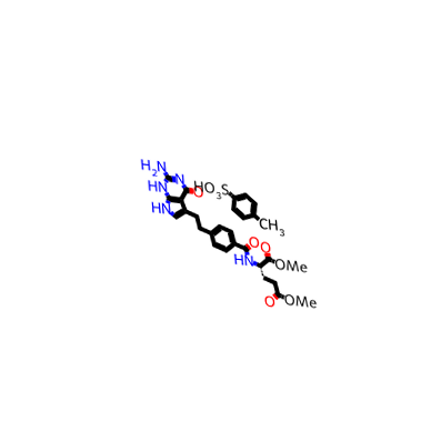 COC(=O)CC[C@H](NC(=O)c1ccc(CCc2c[nH]c3[nH]c(N)nc(=O)c23)cc1)C(=O)OC.Cc1ccc(S(=O)(=O)O)cc1